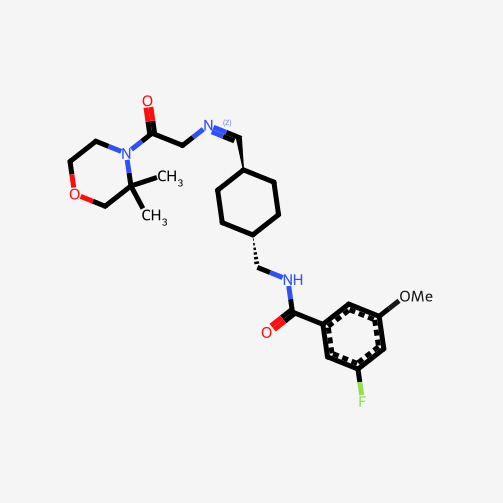 COc1cc(F)cc(C(=O)NC[C@H]2CC[C@H](/C=N\CC(=O)N3CCOCC3(C)C)CC2)c1